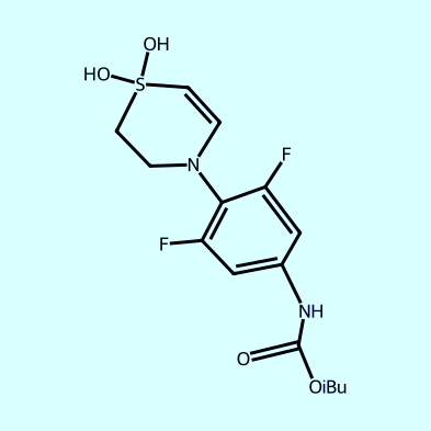 CC(C)COC(=O)Nc1cc(F)c(N2C=CS(O)(O)CC2)c(F)c1